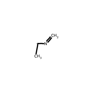 C=N[CH]C